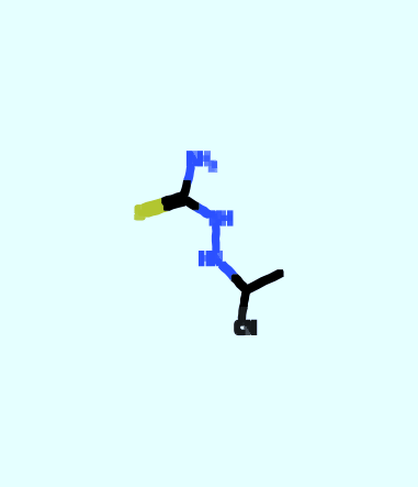 CC(C#N)NNC(N)=S